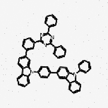 c1ccc(-c2nc(-c3ccccc3)nc(-c3cccc(-c4ccc5c6ccccc6n(-c6ccc(-c7ccc8c(c7)c7ccccc7n8-c7ccccc7)cc6)c5c4)c3)n2)cc1